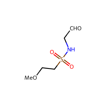 COCCS(=O)(=O)NCC=O